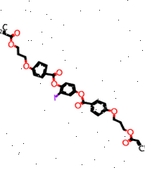 C=CC(=O)OCCCOc1ccc(C(=O)Oc2ccc(OC(=O)c3ccc(OCCCOC(=O)C=C)cc3)c(I)c2)cc1